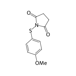 COc1ccc(SN2C(=O)CCC2=O)cc1